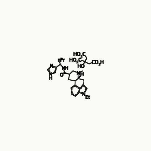 CCCC(NC(=O)[C@@H]1CC2c3cccc4c3c(cn4CC)C[C@H]2N(C)C1)c1c[nH]cn1.O=C(O)CC(O)(CC(=O)O)C(=O)O